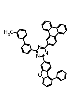 Cc1cccc(-c2cccc(-c3nc(-c4ccc5c(c4)oc4cccc(-c6ccccc6)c45)nc(-c4ccc5c6ccccc6c6ccccc6c5c4)n3)c2)c1